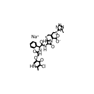 Cc1[nH]cc(OCC(=O)NC(C(=O)NC2C(=O)N3C(C(=O)[O-])=C(CSc4nnnn4C)CS[C@@H]23)c2ccccc2)c(=O)c1Cl.[Na+]